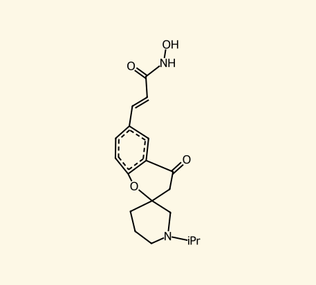 CC(C)N1CCCC2(CC(=O)c3cc(C=CC(=O)NO)ccc3O2)C1